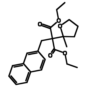 CCOC(=O)C(Cc1ccc2ccccc2c1)(C(=O)OCC)C1(C)CCCO1